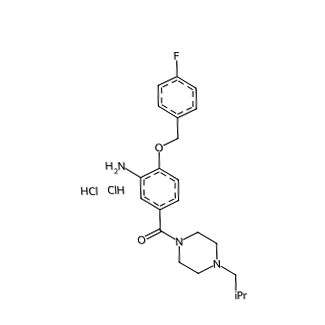 CC(C)CN1CCN(C(=O)c2ccc(OCc3ccc(F)cc3)c(N)c2)CC1.Cl.Cl